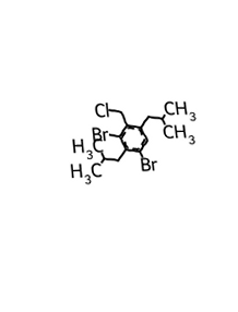 CC(C)Cc1cc(Br)c(CC(C)C)c(Br)c1CCl